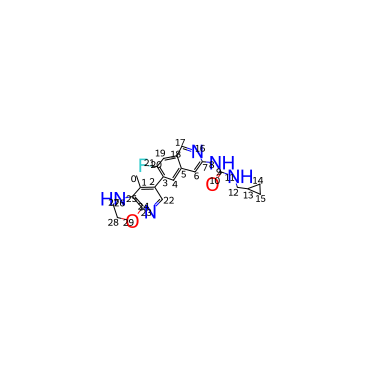 Cc1c(-c2cc3cc(NC(=O)NCC4CC4)ncc3cc2F)cnc2c1NCCO2